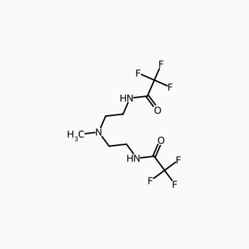 CN(CCNC(=O)C(F)(F)F)CCNC(=O)C(F)(F)F